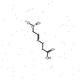 O=C(O)CC/C=C/C[N+](=O)[O-]